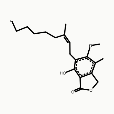 [CH]CCCCCC(C)=CCc1c(O)c2c(c(C)c1OC)COC2=O